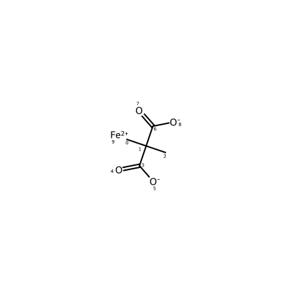 CC(C)(C(=O)[O-])C(=O)[O-].[Fe+2]